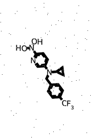 ON(O)c1ccc(N(Cc2ccc(C(F)(F)F)cc2)C2CC2)cn1